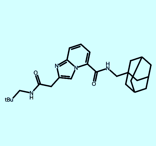 CC(C)(C)CNC(=O)Cc1cn2c(C(=O)NCC34CC5CC(CC(C5)C3)C4)cccc2n1